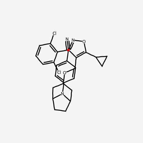 N#Cc1ccc(N2C3CCC2CC(OCc2c(-c4c(Cl)cccc4Cl)noc2C2CC2)C3)cc1